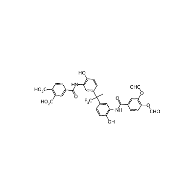 CC(c1ccc(O)c(NC(=O)c2ccc(OC=O)c(OC=O)c2)c1)(c1ccc(O)c(NC(=O)c2ccc(C(=O)O)c(C(=O)O)c2)c1)C(F)(F)F